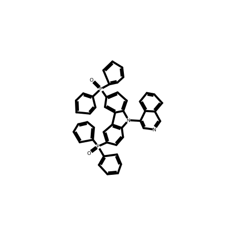 O=P(c1ccccc1)(c1ccccc1)c1ccc2c(c1)c1cc(P(=O)(c3ccccc3)c3ccccc3)ccc1n2-c1cncc2ccccc12